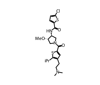 CO[C@H]1CN(C(=O)c2cc(CCN(C)C)c(C(C)C)s2)C[C@@H]1NC(=O)c1ccc(Cl)s1